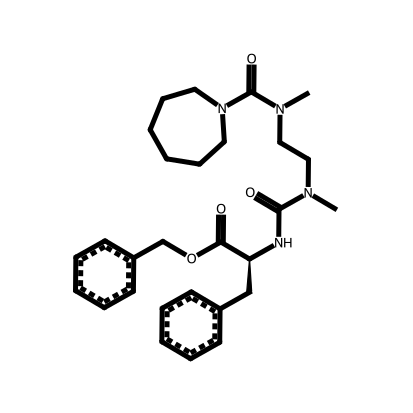 CN(CCN(C)C(=O)N1CCCCCC1)C(=O)N[C@@H](Cc1ccccc1)C(=O)OCc1ccccc1